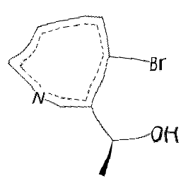 C[C@H](O)c1ncccc1Br